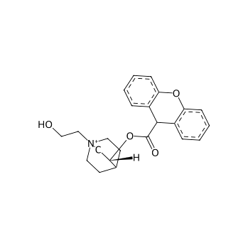 O=C(O[C@H]1C[N+]2(CCO)CCC1CC2)C1c2ccccc2Oc2ccccc21